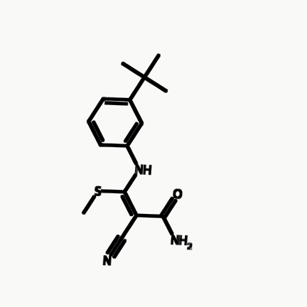 CSC(Nc1cccc(C(C)(C)C)c1)=C(C#N)C(N)=O